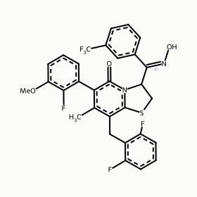 COc1cccc(-c2c(C)c(Cc3c(F)cccc3F)c3n(c2=O)C(/C(=N/O)c2cccc(C(F)(F)F)c2)CS3)c1F